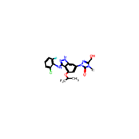 CCn1c(CO)nn(-c2cc(OC(C)C(F)(F)F)c3c(Nc4c(F)cccc4Cl)n[nH]c3c2)c1=O